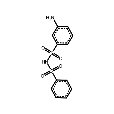 Nc1cccc(S(=O)(=O)NS(=O)(=O)c2ccccc2)c1